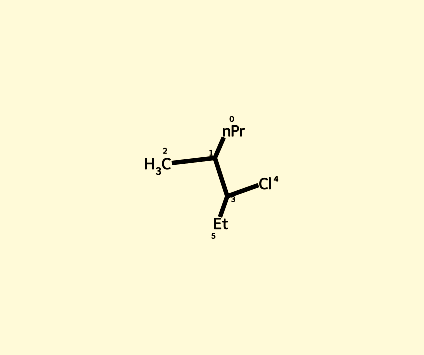 CCCC(C)C(Cl)CC